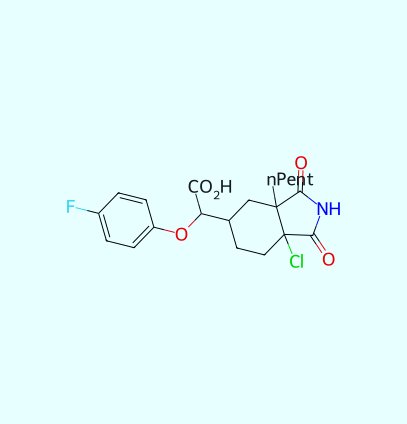 CCCCCC12CC(C(Oc3ccc(F)cc3)C(=O)O)CCC1(Cl)C(=O)NC2=O